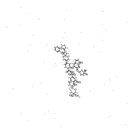 CC(C)c1ccccc1[C@H]1CCCN1C1CC2(CCN(C3=CCC(C(=O)NS(=O)(=O)c4cc(N=O)c5c(c4)OC[C@H]([C@H]4CC[C@](C)(O)CC4)N5)C(Oc4cc5cc[nH]c5nc4OC4CCS(=O)(=O)C4)=C3)CC2)C1